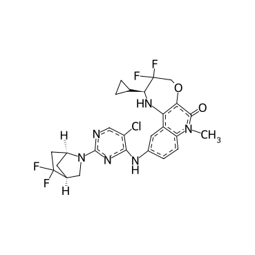 Cn1c(=O)c2c(c3cc(Nc4nc(N5C[C@@H]6C[C@H]5CC6(F)F)ncc4Cl)ccc31)N[C@@H](C1CC1)C(F)(F)CO2